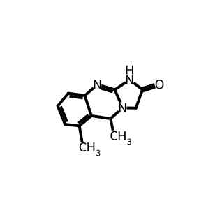 Cc1cccc2c1C(C)N1CC(=O)NC1=N2